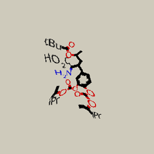 CC(CC(c1ccc(OC(=O)OC(C)C(C)C)c(OC(=O)OC(C)C(C)C)c1)[C@H](N)C(=O)O)OC(=O)C(C)(C)C